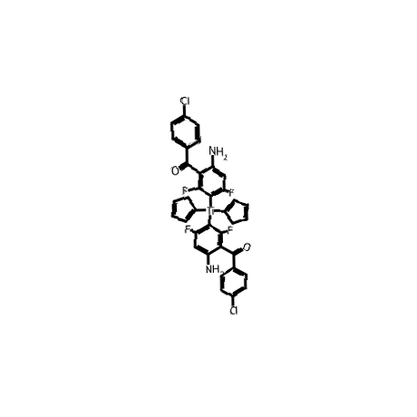 Nc1cc(F)[c]([Ti]([C]2=CC=CC2)([C]2=CC=CC2)[c]2c(F)cc(N)c(C(=O)c3ccc(Cl)cc3)c2F)c(F)c1C(=O)c1ccc(Cl)cc1